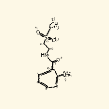 CC(=O)Oc1ccccc1C(=O)NCCS(C)(=O)=O